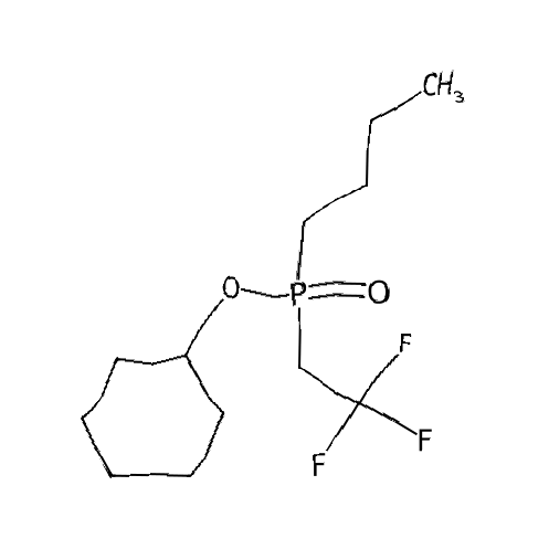 CCCCP(=O)(CC(F)(F)F)OC1CCCCC1